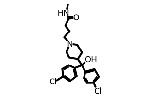 CNC(=O)CCCN1CCC(C(O)(c2ccc(Cl)cc2)c2ccc(Cl)cc2)CC1